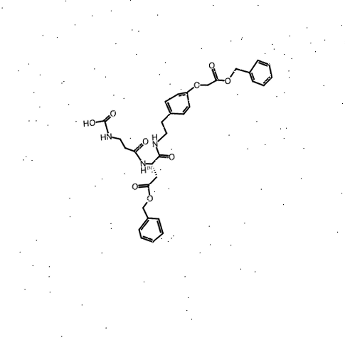 O=C(O)NCCC(=O)N[C@@H](CC(=O)OCc1ccccc1)C(=O)NCCc1ccc(OCC(=O)OCc2ccccc2)cc1